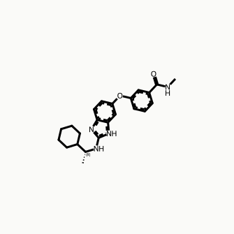 CNC(=O)c1cccc(Oc2ccc3nc(N[C@H](C)C4CCCCC4)[nH]c3c2)c1